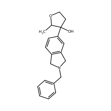 CC1OCCC1(O)c1ccc2c(c1)CN(Cc1ccccc1)C2